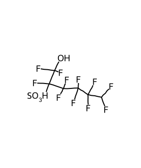 O=S(=O)(O)C(F)(C(O)(F)F)C(F)(F)C(F)(F)C(F)(F)C(F)F